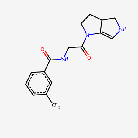 O=C(NCC(=O)N1CCC2CNC=C21)c1cccc(C(F)(F)F)c1